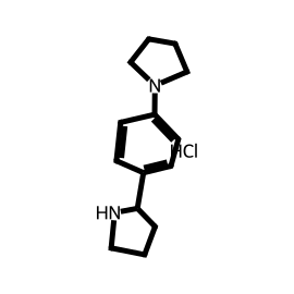 Cl.c1cc(N2CCCC2)ccc1C1CCCN1